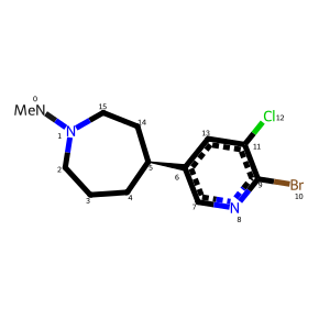 CNN1CCC[C@H](c2cnc(Br)c(Cl)c2)CC1